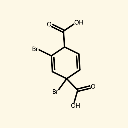 O=C(O)C1C=CC(Br)(C(=O)O)C=C1Br